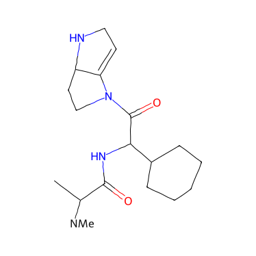 CNC(C)C(=O)NC(C(=O)N1CCC2NCC=C21)C1CCCCC1